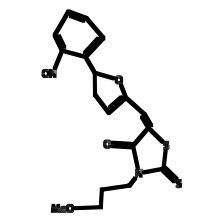 COCCCN1C(=O)/C(=C\C2=CCC(c3ccccc3N=O)O2)SC1=S